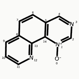 [O-][n+]1cncc2ccc3cccnc3c21